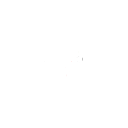 CCCCCCCCCCCCCCCCC(COP(=O)(O)O)OCc1cc(F)cc(C#N)c1